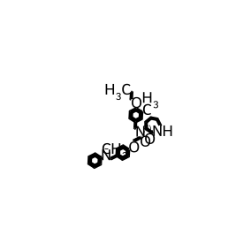 CCCOc1ccc(CN(C(=O)COc2ccc(CN(C)c3ccccc3)cc2)[C@H]2CCCCNC2=O)cc1C